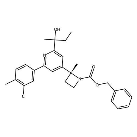 CCC(C)(O)c1cc([C@@]2(C)CCN2C(=O)OCc2ccccc2)cc(-c2ccc(F)c(Cl)c2)n1